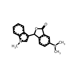 CN(C)c1ccc2c(c1)C(=O)OC2c1cn(C)c2ccccc12